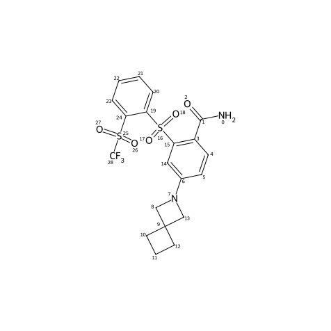 NC(=O)c1ccc(N2CC3(CCC3)C2)cc1S(=O)(=O)c1ccccc1S(=O)(=O)C(F)(F)F